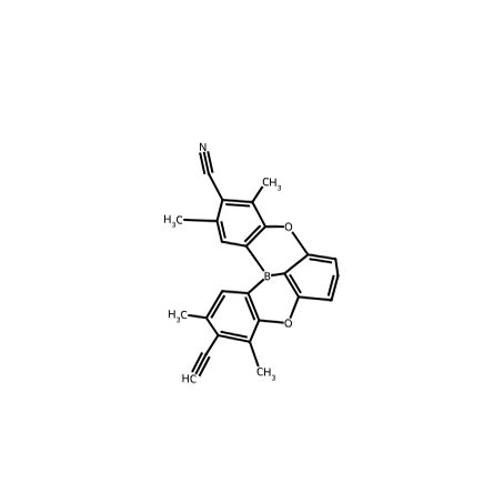 C#Cc1c(C)cc2c(c1C)Oc1cccc3c1B2c1cc(C)c(C#N)c(C)c1O3